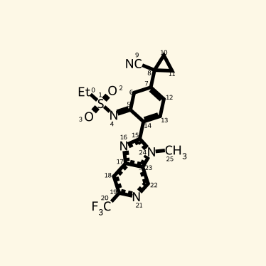 CCS(=O)(=O)N=C1CC(C2(C#N)CC2)=CC=C1c1nc2cc(C(F)(F)F)ncc2n1C